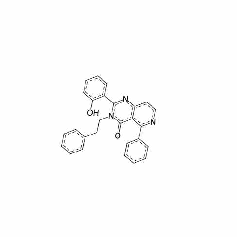 O=c1c2c(-c3ccccc3)nccc2nc(-c2ccccc2O)n1CCc1ccccc1